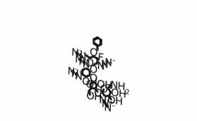 [N-]=[N+]=NCC1OC(OC2C(N=[N+]=[N-])CC(N=[N+]=[N-])C(O)C2OC2OC(CO)C(OC3OC(CN)C(O)C(O)C3N=[N+]=[N-])C2O)C(N=[N+]=[N-])C(F)C1OCc1ccccc1